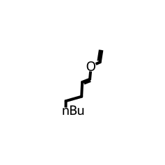 [CH2]CCCCCC=COC=C